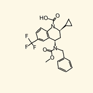 COC(=O)N(Cc1ccccc1)[C@@H]1C[C@H](C2CC2)N(C(=O)O)c2ccc(C(F)(F)F)cc21